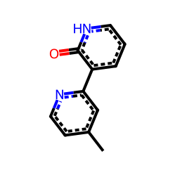 Cc1ccnc(-c2ccc[nH]c2=O)c1